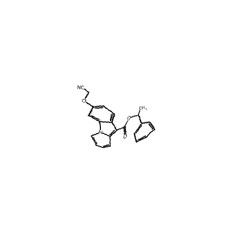 CC(OC(=O)c1c2ccc(OCC#N)cc2n2ccccc12)c1ccccc1